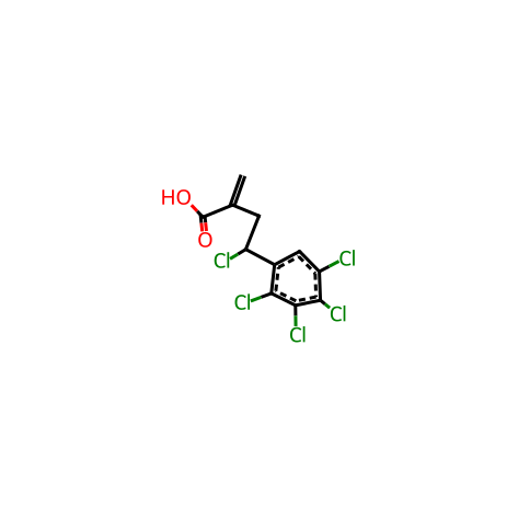 C=C(CC(Cl)c1cc(Cl)c(Cl)c(Cl)c1Cl)C(=O)O